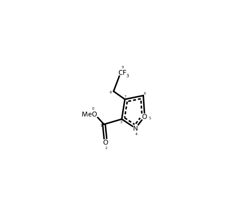 COC(=O)c1nocc1CC(F)(F)F